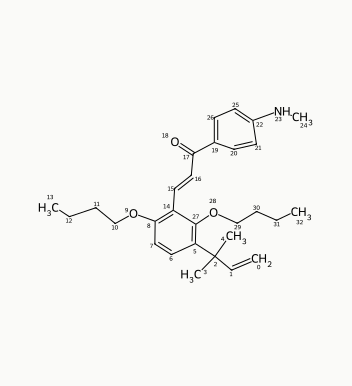 C=CC(C)(C)c1ccc(OCCCC)c(C=CC(=O)c2ccc(NC)cc2)c1OCCCC